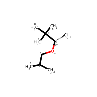 CC(C)CO[C@@H](C)C(C)(C)C